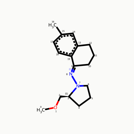 COC[C@@H]1CCCN1/N=C1\CCCc2cc(C)ccc21